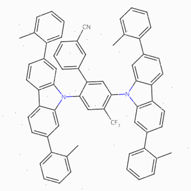 Cc1ccccc1-c1ccc2c3ccc(-c4ccccc4C)cc3n(-c3cc(C(F)(F)F)c(-n4c5cc(-c6ccccc6C)ccc5c5ccc(-c6ccccc6C)cc54)cc3-c3cccc(C#N)c3)c2c1